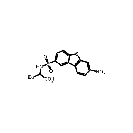 CCC(C)C(NS(=O)(=O)c1ccc2sc3cc([N+](=O)[O-])ccc3c2c1)C(=O)O